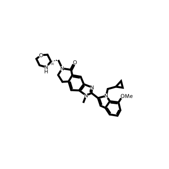 COc1cccc2cc(-c3nc4cc5c(cc4n3C)CCN(C[C@H]3COCCN3)C5=O)n(CC3CC3)c12